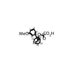 COc1cccc(C2(OC(=O)C(=O)O)CN3CCC2CC3)c1